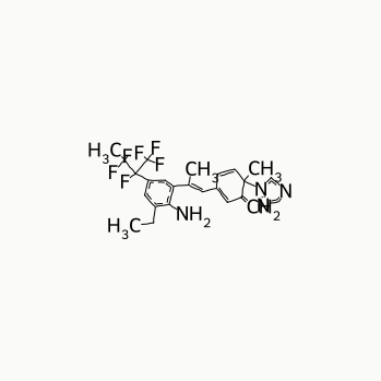 C=C1C=C(/C=C(\C)c2cc(C(F)(C(C)(F)F)C(F)(F)F)cc(CC)c2N)C=CC1(C)n1cncn1